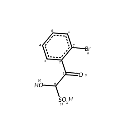 O=C(c1ccccc1Br)C(O)S(=O)(=O)O